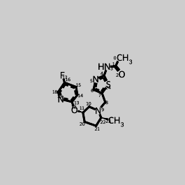 CC(=O)Nc1ncc(CN2C[C@H](Oc3ccc(F)cn3)CC[C@@H]2C)s1